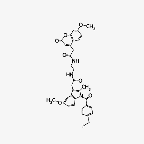 COc1ccc2c(CC(=O)NCCNC(=O)Cc3c(C)n(C(=O)c4ccc(CI)cc4)c4ccc(OC)cc34)cc(=O)oc2c1